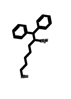 CCCCCCCCCCCCCCCC(C(=O)O)C(c1ccccc1)c1ccccc1